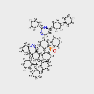 O=P(c1ccccc1)(c1ccccc1)c1cc(-c2cc(-c3ccc(-c4ccccc4)cc3)nc(-c3ccccc3)n2)cc(-c2nc3ccccc3c3cc4c(cc23)-c2ccccc2C42c3ccccc3-c3ccccc32)c1